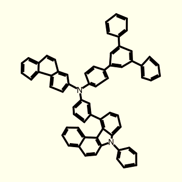 c1ccc(-c2cc(-c3ccccc3)cc(-c3ccc(N(c4cccc(-c5cccc6c5c5c7ccccc7ccc5n6-c5ccccc5)c4)c4ccc5c(ccc6ccccc65)c4)cc3)c2)cc1